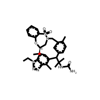 CC[C@@H]1CN(Cc2cc(C(c3ccc4c(nnn4CC)c3C)C(C)(C)NC(N)=O)ccc2C)S(=O)(=O)c2ccccc2O1